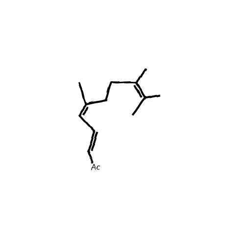 CC(=O)C=CC=C(C)CCC(C)=C(C)C